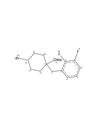 COC1(Cc2cccc(F)c2F)CCC(C(C)C)CC1